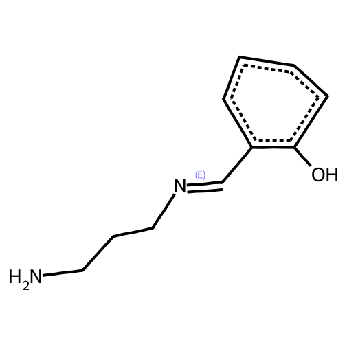 NCCC/N=C/c1ccccc1O